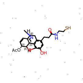 CC(=O)O[C@H]1C=CC2[C@H]3Cc4c(CCC(=O)NCCS)cc(O)c5c4[C@@]2(CCN3C)[C@H]1O5